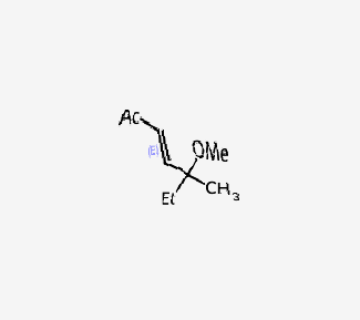 CCC(C)(/C=C/C(C)=O)OC